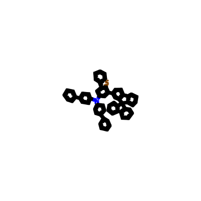 c1ccc(-c2ccc(N(c3ccc(-c4ccccc4)cc3)c3cc(-c4ccc5c(c4)C(c4ccccc4)(c4ccccc4)c4ccccc4-5)c4sc5ccccc5c4c3)cc2)cc1